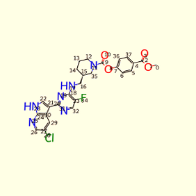 COC(=O)c1ccc(OC(=O)N2CCC[C@H](CNc3nc(-c4c[nH]c5ncc(Cl)cc45)ncc3F)C2)cc1